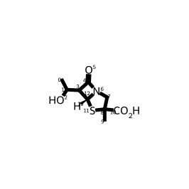 CC(O)C1C(=O)N2CC(C)(C(=O)O)S[C@H]12